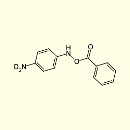 O=C(ONc1ccc([N+](=O)[O-])cc1)c1ccccc1